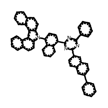 c1ccc(-c2ccc3cc(-c4nc(-c5ccccc5)nc(-c5ccc(-n6c7ccc8ccccc8c7c7c8ccccc8ccc76)c6ccccc56)n4)ccc3c2)cc1